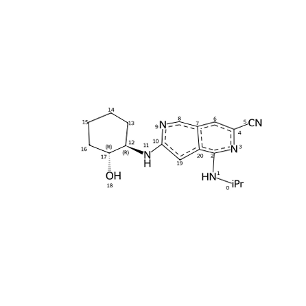 CC(C)Nc1nc(C#N)cc2cnc(N[C@@H]3CCCC[C@H]3O)cc12